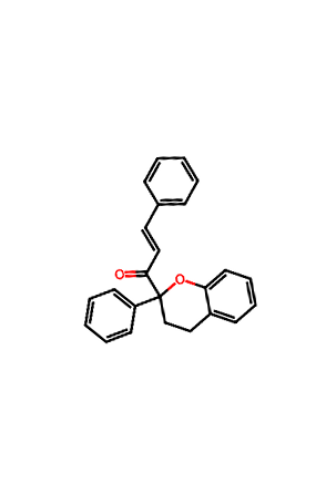 O=C(C=Cc1ccccc1)C1(c2ccccc2)CCc2ccccc2O1